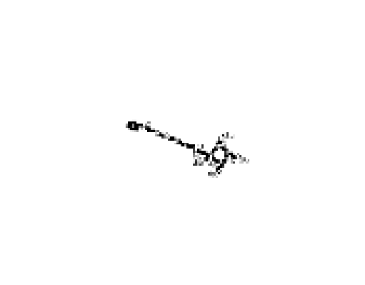 CC(C)(C)OC(=O)CN1CCN(CC(=O)OC(C)(C)C)CCN([C@H](CCC(=O)NCCOCCOCCOCCOCCC(=O)OCc2ccccc2)C(=O)OC(C)(C)C)CCN(CC(=O)OC(C)(C)C)CC1